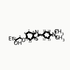 CC[C@H](O)COc1ccc2nc(-c3ccc(N(C)C)cc3)sc2c1